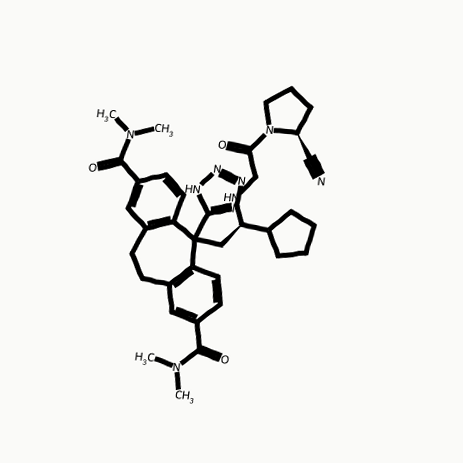 CN(C)C(=O)c1ccc2c(c1)CCc1cc(C(=O)N(C)C)ccc1C2(C[C@@H](NCC(=O)N1CCC[C@H]1C#N)C1CCCC1)c1nnn[nH]1